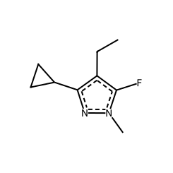 CCc1c(C2CC2)nn(C)c1F